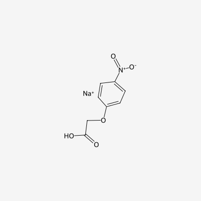 O=C(O)COc1ccc([N+](=O)[O-])cc1.[Na+]